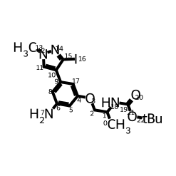 CC(COc1cc(N)cc(-c2cn(C)nc2I)c1)NC(=O)OC(C)(C)C